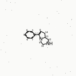 C1=C(c2ccccc2)N2CCNCC2C1